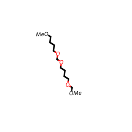 COCCCCOCOCCCCOCOC